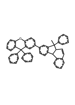 CC1(c2ccccc2)c2cc(-c3ccc4c(c3)C(c3ccccc3)(c3ccccc3)c3ccccc3O4)ccc2C2c3ccccc3C=CC21